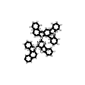 c1ccc2c(c1)ccc1c2c2ccccc2n1-c1nc(-n2c3ccc4ccccc4c3c3cc4c5ccccc5n5c6ccccc6c(c32)c45)nc2c1oc1ccccc12